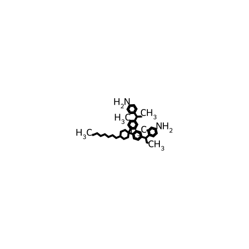 CCCCCCCCC1CCC(c2ccc(C(CC)c3ccc(N)cc3C)cc2)(c2ccc(C(CC)c3ccc(N)cc3C)cc2)CC1